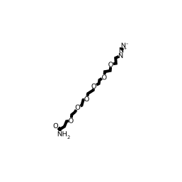 [N-]=[N+]=NCCOCCOCCOCCOCCOCCOCCC(N)=O